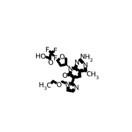 CCOCn1ccnc1-c1cc2c(C)nc(N)nc2n([C@@H]2CCOC2)c1=O.O=C(O)C(F)(F)F